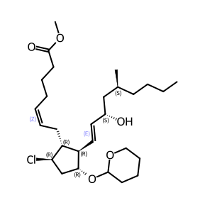 CCCC[C@H](C)C[C@H](O)/C=C/[C@@H]1[C@@H](C/C=C\CCCC(=O)OC)[C@H](Cl)C[C@H]1OC1CCCCO1